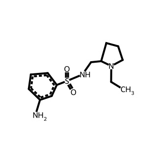 CCN1CCCC1CNS(=O)(=O)c1cccc(N)c1